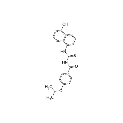 CC(C)Oc1ccc(C(=O)NC(=S)Nc2cccc3c(O)cccc23)cc1